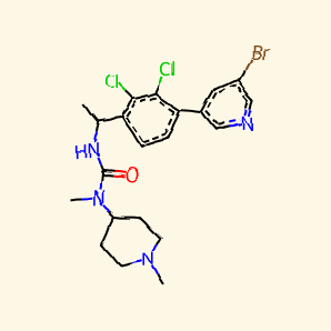 CC(NC(=O)N(C)C1CCN(C)CC1)c1ccc(-c2cncc(Br)c2)c(Cl)c1Cl